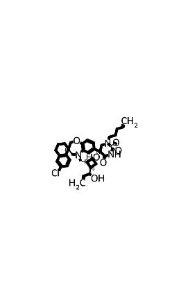 C=CCCCN1C[C@@](O)(c2ccc3c(c2)N(C[C@@H]2CC[C@H]2C(O)C=C)C[C@@]2(CCCc4cc(Cl)ccc42)CO3)C(=O)NS1(=O)=O